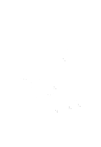 Cc1noc(-c2cc(-c3ccc(N4CCOCC4)cc3)nc(OCc3sccc3C(=O)O)c2C#N)n1